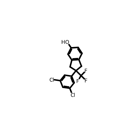 Oc1ccc2c(c1)CC(c1cc(Cl)cc(Cl)c1)(C(F)(F)F)C2